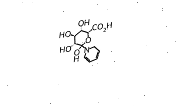 O=C(O)[C@H]1OC(O)(N2C=CC=CC2)[C@H](O)[C@@H](O)[C@@H]1O